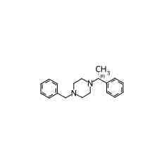 C[C@H](c1ccccc1)N1CCN(Cc2ccccc2)CC1